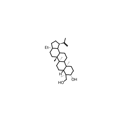 C=C(C)[C@@H]1CC[C@]2(CC)CC[C@]3(C)C(CCC4[C@@]5(C)CC[C@H](O)[C@@](C)(CO)[C@@H]5CC[C@]43C)C12